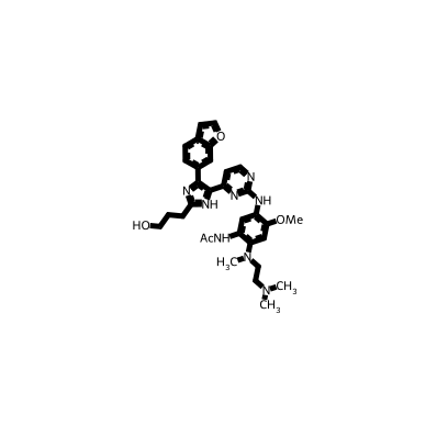 COc1cc(N(C)CCN(C)C)c(NC(C)=O)cc1Nc1nccc(-c2[nH]c(CCCO)nc2-c2ccc3ccoc3c2)n1